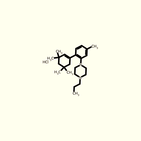 CCCN1CCN(c2cc(C)ccc2C2=CC(C)(C)CC(C)(C)C2)CC1.Cl